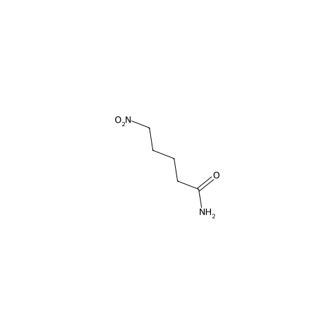 NC(=O)CCCC[N+](=O)[O-]